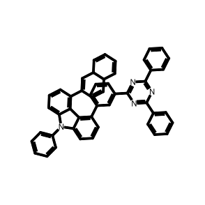 C1=CC2C=CC(c3cccc4c3c3c(-c5cccc(-c6nc(-c7ccccc7)nc(-c7ccccc7)n6)c5)cccc3n4-c3ccccc3)=CC2C=C1